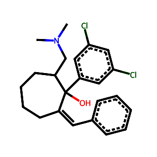 CN(C)CC1CCCC/C(=C/c2ccccc2)C1(O)c1cc(Cl)cc(Cl)c1